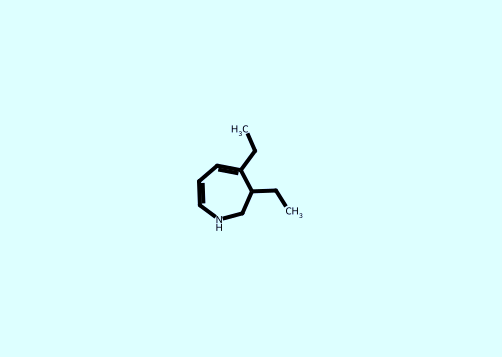 CCC1=CC=CNCC1CC